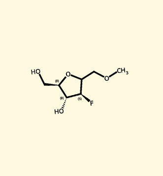 COCC1O[C@H](CO)[C@@H](O)[C@@H]1F